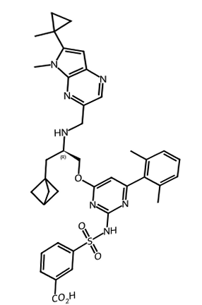 Cc1cccc(C)c1-c1cc(OC[C@@H](CC23CC(C2)C3)NCc2cnc3cc(C4(C)CC4)n(C)c3n2)nc(NS(=O)(=O)c2cccc(C(=O)O)c2)n1